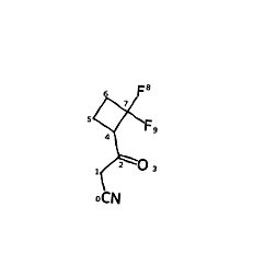 N#CCC(=O)C1CCC1(F)F